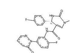 CN1C=C(C(=O)Nc2cc(-n3ncccc3=O)ccc2F)[C@H](c2ccc(F)cc2)NC1=O